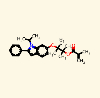 C=C(C)C(=O)OC(C)(C)C(C)(C)Oc1ccc2cc(-c3ccccc3)n(C(C)C)c2c1